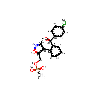 Cc1noc(COS(C)(=O)=O)c1-c1ccccc1C(=O)c1ccc(Cl)cc1